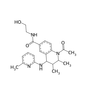 CC(=O)N1c2ccc(C(=O)NCCO)cc2C(Nc2cccc(C)n2)C(C)C1C